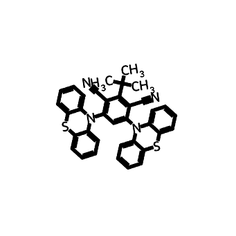 CC(C)(C)c1c(C#N)c(N2c3ccccc3Sc3ccccc32)cc(N2c3ccccc3Sc3ccccc32)c1C#N